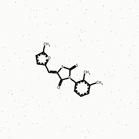 Cc1ccc(/C=C2\SC(=S)N(c3cccc(C)c3C)C2=O)o1